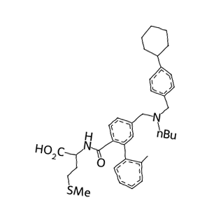 CCCCN(Cc1ccc(C2CCCCC2)cc1)Cc1ccc(C(=O)NC(CCSC)C(=O)O)c(-c2ccccc2C)c1